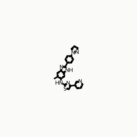 Cc1cc2nc(-c3ccc(-n4cccn4)cc3)[nH]c2cc1Nc1nc(-c2cccnc2)cs1